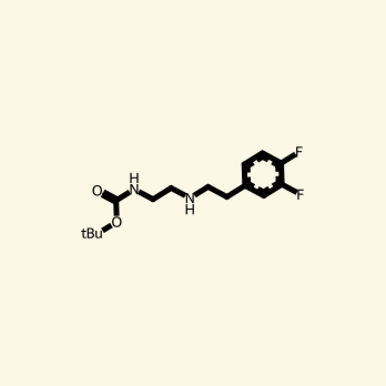 CC(C)(C)OC(=O)NCCNCCc1ccc(F)c(F)c1